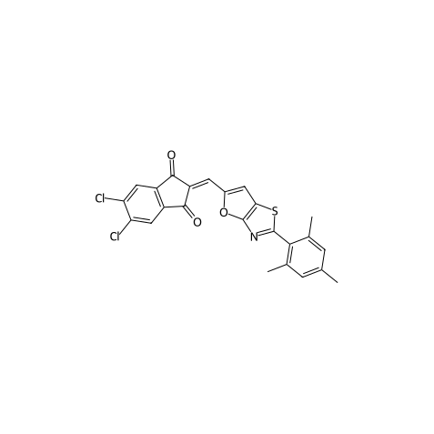 Cc1cc(C)c(-c2nc3oc(C=C4C(=O)c5cc(Cl)c(Cl)cc5C4=O)cc3s2)c(C)c1